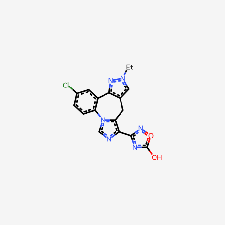 CCn1cc2c(n1)-c1cc(Cl)ccc1-n1cnc(-c3noc(O)n3)c1C2